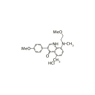 COCCN(C)c1ccc(C)c2c(=O)c(-c3ccc(OC)cc3)c[nH]c12.Cl